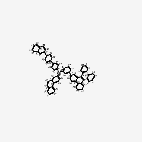 c1ccc(-c2c(-c3ccccc3)c3cc(-c4cccc(N(c5ccc(-c6ccc(-c7ccc8ccccc8c7)cc6)cc5)c5ccc6c(ccc7ccccc76)c5)c4)ccc3c3ccccc23)cc1